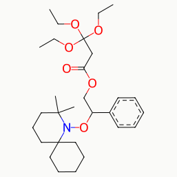 CCOC(CC(=O)OCC(ON1C(C)(C)CCCC12CCCCC2)c1ccccc1)(OCC)OCC